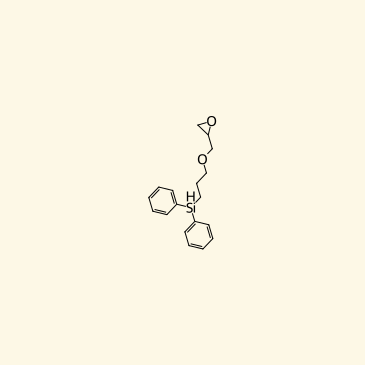 c1ccc([SiH](CCCOCC2CO2)c2ccccc2)cc1